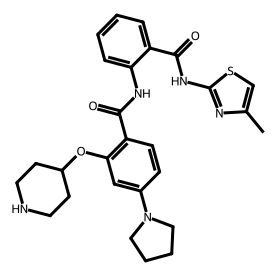 Cc1csc(NC(=O)c2ccccc2NC(=O)c2ccc(N3CCCC3)cc2OC2CCNCC2)n1